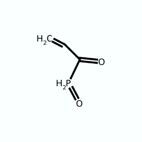 C=CC(=O)[PH2]=O